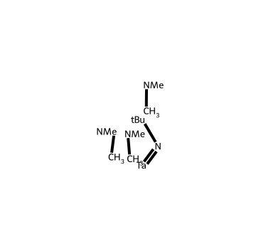 CC(C)(C)[N]=[Ta].CNC.CNC.CNC